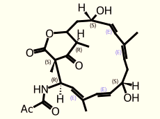 CC(=O)C(=O)N[C@@H]1/C=C(C)/C=C/[C@@H](O)C/C=C(C)/C=C/[C@@H](O)CC2OC(=O)[C@]1(C)C(=O)[C@@H]2C